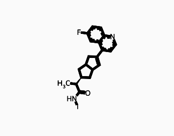 CC(C(=O)NI)[C@@H]1CC2C=C(c3ccnc4ccc(F)cc34)CC2C1